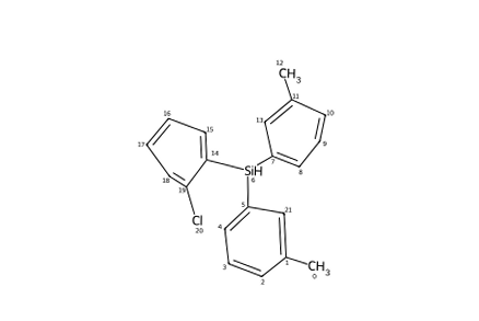 Cc1cccc([SiH](c2cccc(C)c2)c2ccccc2Cl)c1